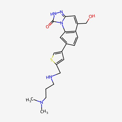 CN(C)CCCNCc1cc(-c2ccc3c(CO)cc4n[nH]c(=O)n4c3c2)cs1